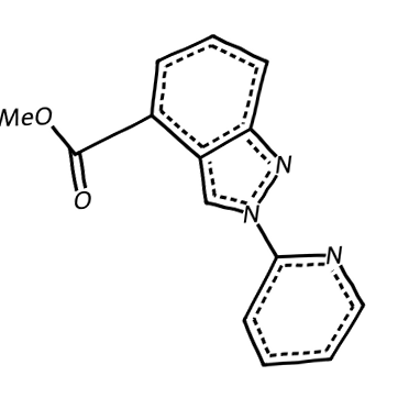 COC(=O)c1cccc2nn(-c3ccccn3)cc12